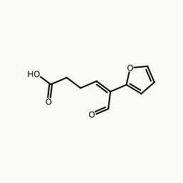 O=CC(=CCCC(=O)O)c1ccco1